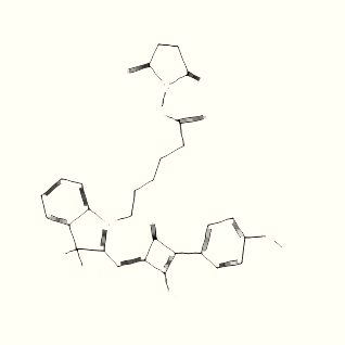 COc1ccc(C2=C(O)/C(=C/C3=[N+](CCCCCC(=O)ON4C(=O)CCC4=O)c4ccccc4C3(C)C)C2=O)cc1